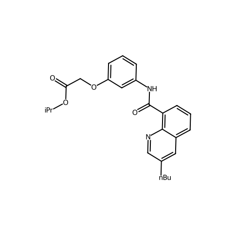 CCCCc1cnc2c(C(=O)Nc3cccc(OCC(=O)OC(C)C)c3)cccc2c1